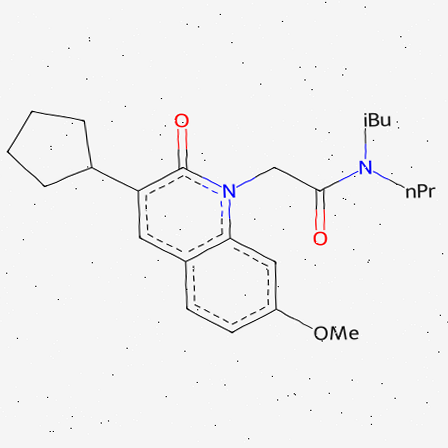 CCCN(C(=O)Cn1c(=O)c(C2CCCC2)cc2ccc(OC)cc21)C(C)CC